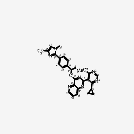 COc1ncnc(C2CC2)c1-c1nc(OC(C)c2ccc(-c3nc(C(F)(F)F)cn3C)cc2)c2ncccc2n1